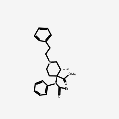 CCC(=O)N(c1ccccc1)[C@@]1(C(=O)OC)CCN(CCc2ccccc2)C[C@@H]1C